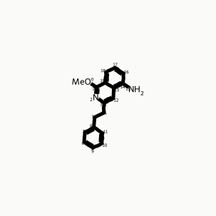 COc1nc(CCc2ccccc2)cc2c(N)cccc12